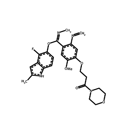 C=Nc1cc(OCCC(=O)N2CCOCC2)c(OC)cc1/C(=N\C)Oc1ccc2[nH]c(C)cc2c1F